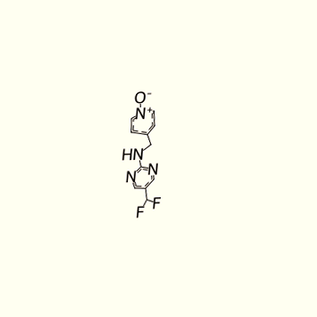 [O-][n+]1ccc(CNc2ncc(C(F)F)cn2)cc1